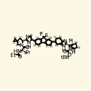 CCC(=O)N[C@@H](C(=O)N1CC2(CC2)C[C@H]1c1ncc(-c2ccc3c(c2)C(F)(F)c2cc(-c4ccc5nc([C@@H]6[C@H]7CC[C@H](C7)N6C(=O)OC(C)(C)C)[nH]c5c4)ccc2-3)[nH]1)C(C)C